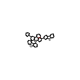 c1ccc(-c2ccc(N(c3ccc(-c4ccc5c(c4)sc4ccccc45)cc3)c3cccc4oc5ccccc5c34)c(-c3ccccc3)c2)cc1